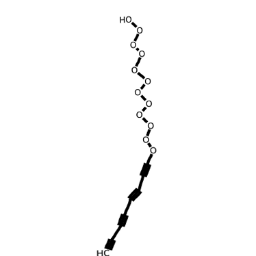 C#CC#CC#CC#COOOOOOOOOOOO